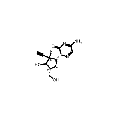 C#C[C@@]1(F)C(O)[C@@H](CO)O[C@H]1n1ncc(N)nc1=O